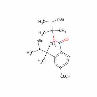 CCCCC(C)C(C)(C)OC(=O)c1ccc(C(=O)O)cc1C(C)(C)C(C)CCCC